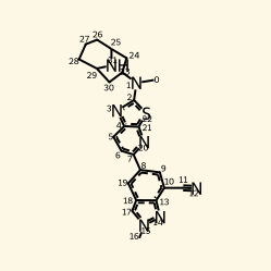 CN(c1nc2ccc(-c3cc(C#N)c4nn(C)cc4c3)nc2s1)C1CC2CCCC(C1)N2